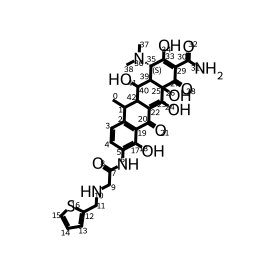 CC1c2ccc(NC(=O)CNCc3cccs3)c(O)c2C(=O)C2=C(O)C3(O)C(=O)C(C(N)=O)=C(O)[C@@H](N(C)C)C3C(O)C21